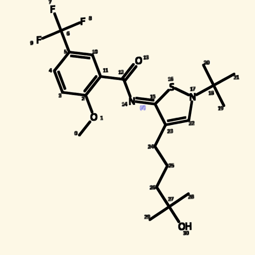 COc1ccc(C(F)(F)F)cc1C(=O)/N=c1\sn(C(C)(C)C)cc1CCCC(C)(C)O